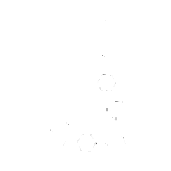 NOCCNCc1ccc(C(=O)NN[C@@H](Cc2cccc(C(=O)ON)c2ON)B(N)N=O)cc1